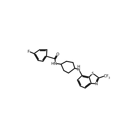 O=C(NC1CCC(Nc2cccc3nc(C(F)(F)F)sc23)CC1)c1ccc(F)cc1